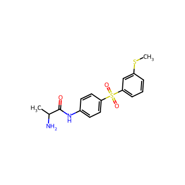 CSc1cccc(S(=O)(=O)c2ccc(NC(=O)C(C)N)cc2)c1